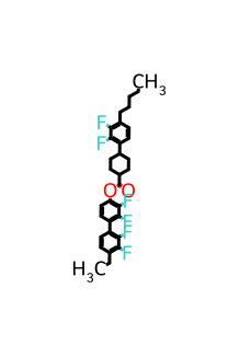 CCCCCc1ccc(C2CCC(C(=O)Oc3ccc(-c4ccc(CC)c(F)c4F)c(F)c3F)CC2)c(F)c1F